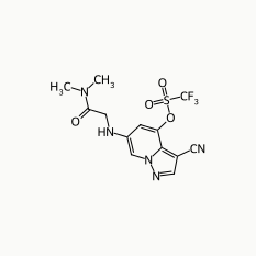 CN(C)C(=O)CNc1cc(OS(=O)(=O)C(F)(F)F)c2c(C#N)cnn2c1